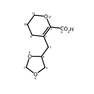 O=C(O)C1=C(CC2COCO2)CCCO1